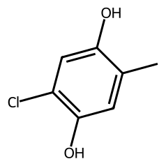 Cc1cc(O)c(Cl)cc1O